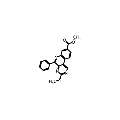 COC(=O)c1ccc2c(c1)nc(-c1ccccc1)c1nc(SC)ncc12